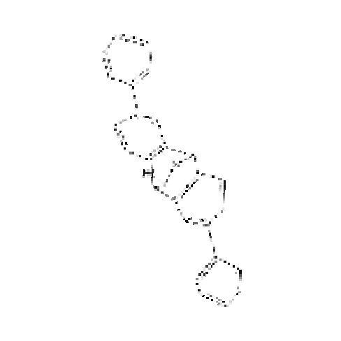 OC1SC2c3cc(-c4ccccc4)ccc3C1c1cc(-c3ccccc3)ccc12